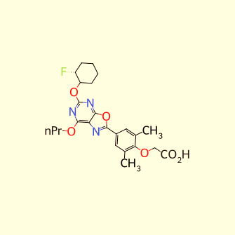 CCCOc1nc(OC2CCCC[C@H]2F)nc2oc(-c3cc(C)c(OCC(=O)O)c(C)c3)nc12